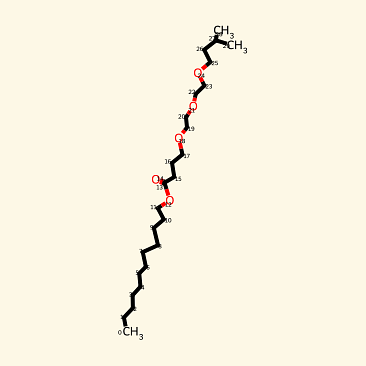 CCCCCCCCCCCCOC(=O)CCCOCCOCCOCCC(C)C